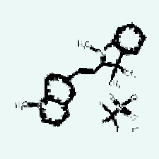 C[N+]1=C(C=Cc2ccc3c(ccc[n+]3C)c2)C(C)(C)c2ccccc21.O=S(=O)([O-])C(F)(F)F.[I-]